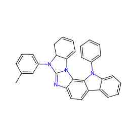 Cc1cccc(N2c3nc4ccc5c6ccccc6n(-c6ccccc6)c5c4n3C3=CC=CCC32)c1